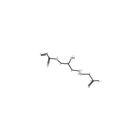 C=CC(=O)OCC(O)COOCC(=C)C